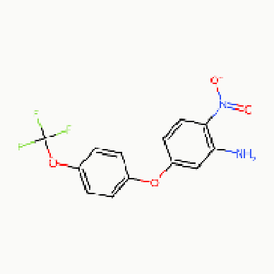 Nc1cc(Oc2ccc(OC(F)(F)F)cc2)ccc1[N+](=O)[O-]